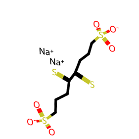 O=S(=O)([O-])CCCC(=S)C(=S)CCCS(=O)(=O)[O-].[Na+].[Na+]